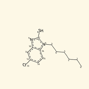 CCCCCCn1c(S)nc2cc(Cl)ccc21